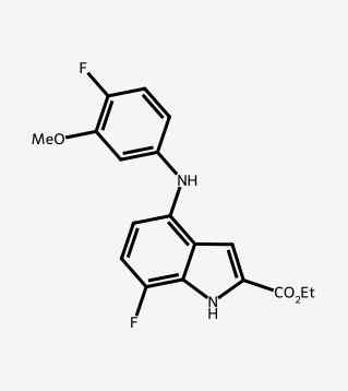 CCOC(=O)c1cc2c(Nc3ccc(F)c(OC)c3)ccc(F)c2[nH]1